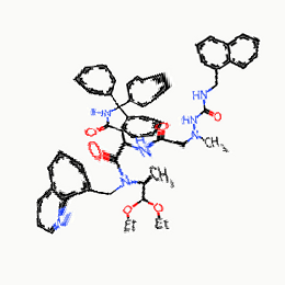 CCOC(OCC)C(C)N(Cc1cccc2cccnc12)C(=O)C(CC(=O)NC(c1ccccc1)(c1ccccc1)c1ccccc1)NC(=O)CN(C)NC(=O)NCc1cccc2ccccc12